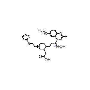 COc1ccc2nc(F)cc(/C(CCC3CCN(CCSc4cccs4)CC3CC(=O)O)=N\O)c2c1